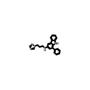 c1ccc(-c2cc(NCCCn3cncn3)cc3c2[nH]c2ccccc23)cc1